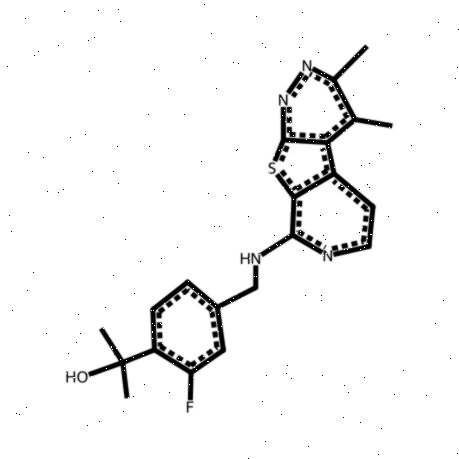 Cc1nnc2sc3c(NCc4ccc(C(C)(C)O)c(F)c4)nccc3c2c1C